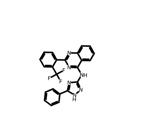 FC(F)(F)c1ccccc1-c1nc(Nc2n[nH]c(-c3ccccc3)n2)c2ccccc2n1